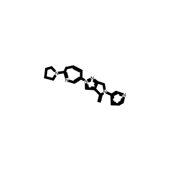 C=C1c2cn(C3=CN=C(N4CCCC4)CC=C3)nc2CN1c1cccnc1